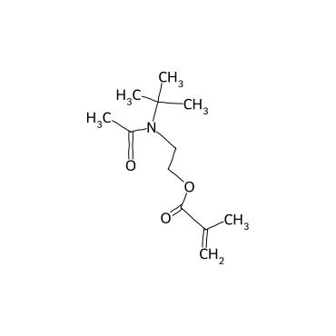 C=C(C)C(=O)OCCN(C(C)=O)C(C)(C)C